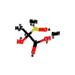 CC(O)([S+]=O)C(=O)O.[NaH].[NaH]